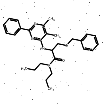 CCCN(CCC)C(=O)C(COCc1ccccc1)Nc1nc(-c2ccccc2)nc(C)c1C